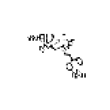 CCCCOC(=O)C[CH2][Sn][CH2]CC(=O)OCCCC.O=C(O)C1CS1